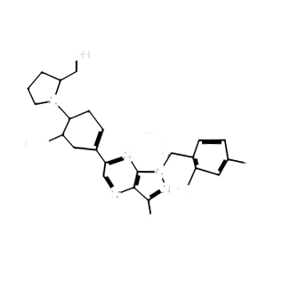 Cc1nn([C@H](C)c2ccc(Cl)cc2Cl)c2nc(C3=CCC(N4CCCC4CO)C(C)C3)cnc12